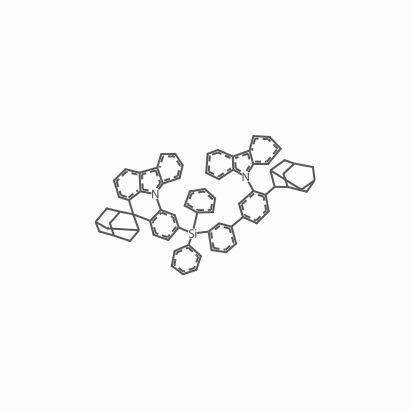 c1ccc([Si](c2ccccc2)(c2cccc(-c3ccc(C4C5CC6CC(C5)CC4C6)c(-n4c5ccccc5c5ccccc54)c3)c2)c2ccc3c(c2)-n2c4ccccc4c4cccc(c42)C32C3CC4CC(C3)CC2C4)cc1